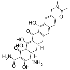 CC(=O)N(C)Cc1ccc2cc3c(c(O)c2c1)C(=O)C1=C(O)[C@]2(O)C(=O)C(C(N)=O)=C(O)[C@@H](N)[C@@H]2C[C@@H]1C3